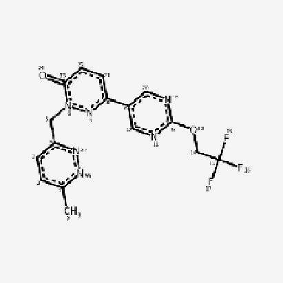 Cc1ccc(Cn2nc(-c3cnc(OCC(F)(F)F)nc3)ccc2=O)nn1